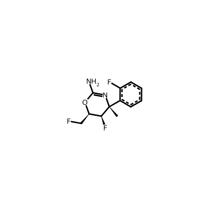 C[C@]1(c2ccccc2F)N=C(N)O[C@H](CF)[C@@H]1F